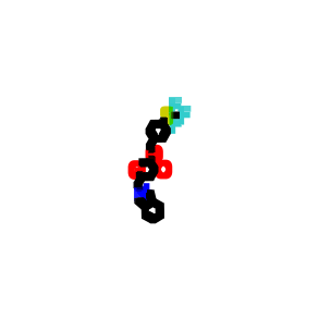 O=c1cc(Cn2cc3ccccc3c2)occ1OCc1ccc(SC(F)(F)F)cc1